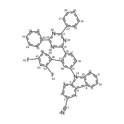 N#Cc1ccc2c(c1)c1ccccc1n2-c1ccc(-c2nc(-c3ccccc3)nc(-c3ccccc3)n2)c(-c2ccc(F)cc2F)c1